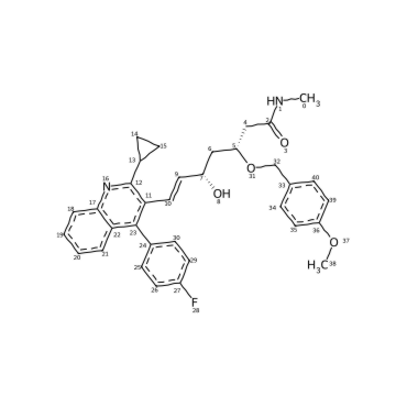 CNC(=O)C[C@@H](C[C@H](O)/C=C/c1c(C2CC2)nc2ccccc2c1-c1ccc(F)cc1)OCc1ccc(OC)cc1